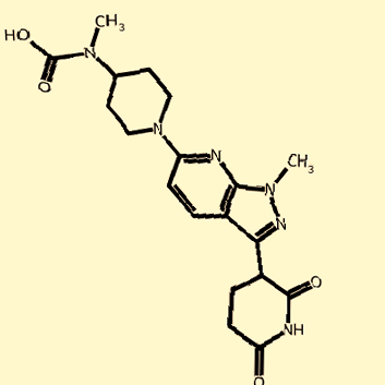 CN(C(=O)O)C1CCN(c2ccc3c(C4CCC(=O)NC4=O)nn(C)c3n2)CC1